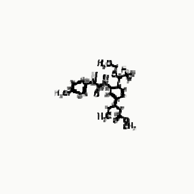 CCOC(c1ccc(C(CC)CC(=O)OC)cc1NC(=O)Nc1ccc(C)cc1)C(F)(F)F